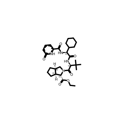 CCOC(=O)[C@@H]1[C@H]2CCC[C@H]2CN1C(=O)[C@@H](NC(=O)[C@@H](NC(=O)c1cccc(=O)[nH]1)C1CCCCC1)C(C)(C)C